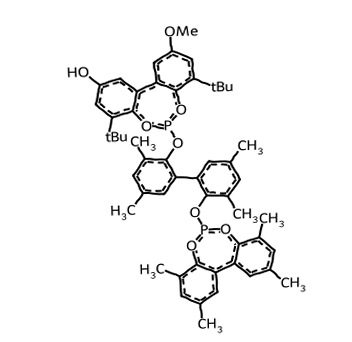 COc1cc(C(C)(C)C)c2op(Oc3c(C)cc(C)cc3-c3cc(C)cc(C)c3Op3oc4c(C)cc(C)cc4c4cc(C)cc(C)c4o3)oc3c(C(C)(C)C)cc(O)cc3c2c1